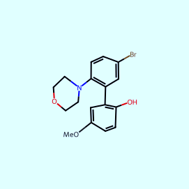 COc1ccc(O)c(-c2cc(Br)ccc2N2CCOCC2)c1